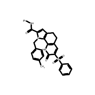 Cc1ccc(Cn2c(C(=O)NC(C)C)cc3c2-c2[nH]c(=O)c(S(=O)(=O)c4ccccc4)cc2CC3)cc1